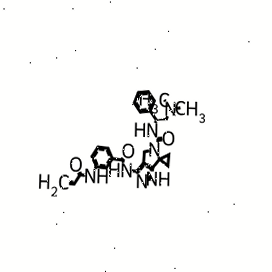 C=CC(=O)Nc1cccc(C(=O)Nc2n[nH]c3c2CN(C(=O)N[C@H](CN(C)C)c2ccccc2)C32CC2)c1